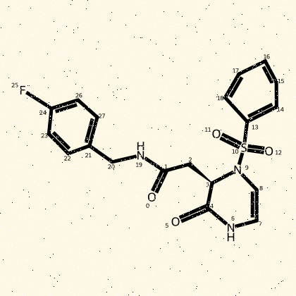 O=C(C[C@@H]1C(=O)NC=CN1S(=O)(=O)c1ccccc1)NCc1ccc(F)cc1